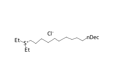 CCCCCCCCCCCCCCCCCCCC[S+](CC)CC.[Cl-]